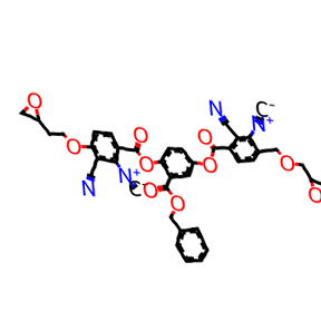 [C-]#[N+]c1c(COCC2CO2)ccc(C(=O)Oc2ccc(OC(=O)c3ccc(OCCC4CO4)c(C#N)c3[N+]#[C-])c(C(=O)OCc3ccccc3)c2)c1C#N